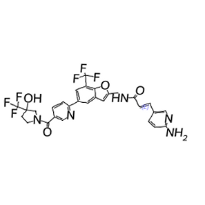 Nc1ccc(/C=C/C(=O)NCc2cc3cc(-c4ccc(C(=O)N5CCC(O)(C(F)(F)F)C5)cn4)cc(C(F)(F)F)c3o2)cn1